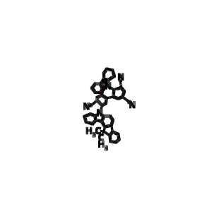 CC1(C)c2ccccc2-c2ccc3c(c21)c1ccccc1n3-c1cc(-c2cc(C#N)cc(C#N)c2-n2c3ccccc3c3ccccc32)c(C#N)cc1C#N